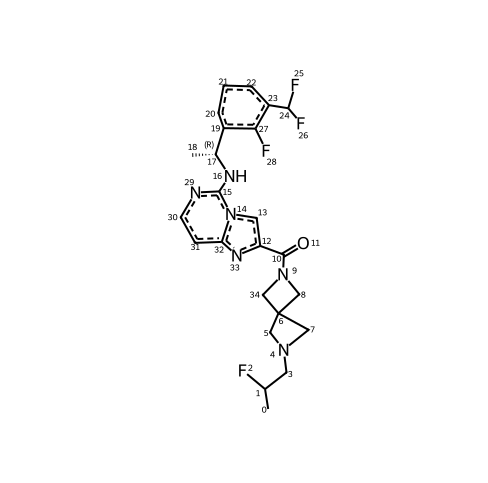 CC(F)CN1CC2(C1)CN(C(=O)c1cn3c(N[C@H](C)c4cccc(C(F)F)c4F)nccc3n1)C2